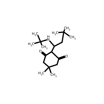 CC(C)(C)CC(NC(C)(C)C)C1C(=O)CC(C)(C)CC1=O